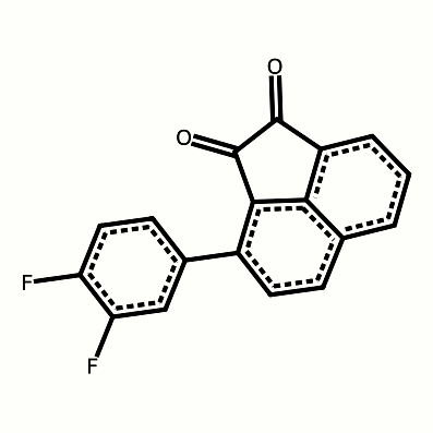 O=C1C(=O)c2c(-c3ccc(F)c(F)c3)ccc3cccc1c23